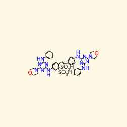 O=S(=O)(O)C1(S(=O)(=O)O)C=C(Nc2nc(Nc3ccccc3)nc(N3CCOCC3)n2)C=CC1C=Cc1ccc(Nc2nc(Nc3ccccc3)nc(N3CCOCC3)n2)cc1